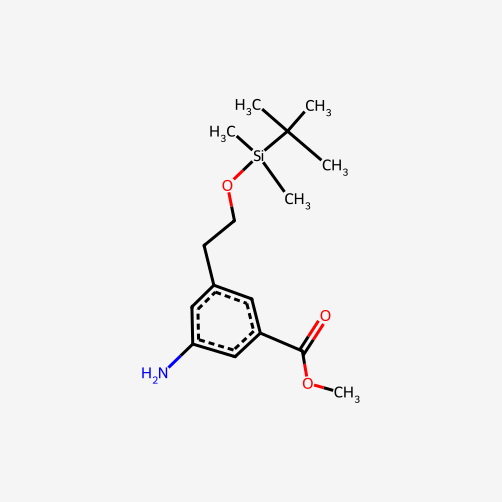 COC(=O)c1cc(N)cc(CCO[Si](C)(C)C(C)(C)C)c1